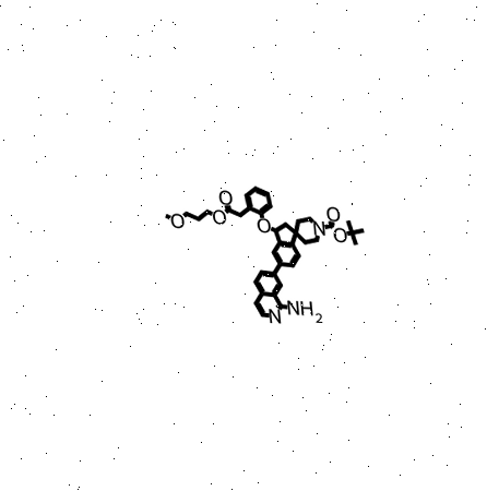 COCCCOC(=O)Cc1ccccc1OC1CC2(CCN(C(=O)OC(C)(C)C)CC2)c2ccc(-c3ccc4ccnc(N)c4c3)cc21